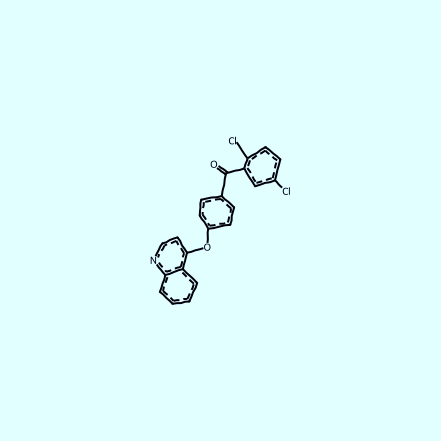 O=C(c1ccc(Oc2ccnc3ccccc23)cc1)c1cc(Cl)ccc1Cl